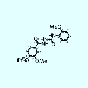 COc1ccccc1NC(=O)NNC(=O)c1ccc(OC(C)C)c(OC)c1